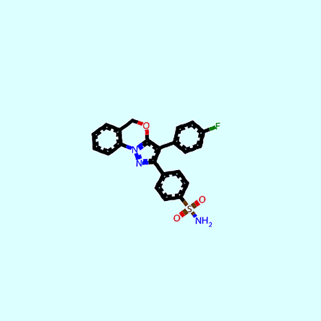 NS(=O)(=O)c1ccc(-c2nn3c(c2-c2ccc(F)cc2)OCc2ccccc2-3)cc1